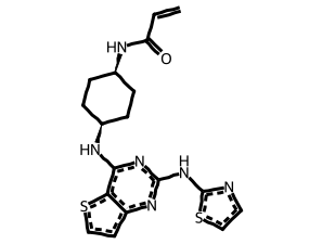 C=CC(=O)N[C@H]1CC[C@@H](Nc2nc(Nc3nccs3)nc3ccsc23)CC1